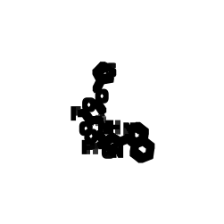 CC(C)C1(C(=O)N[C@@H](CC(=O)OCc2ccsc2)C(=O)CF)CC(c2nccc3c2C=CCC3)=NO1